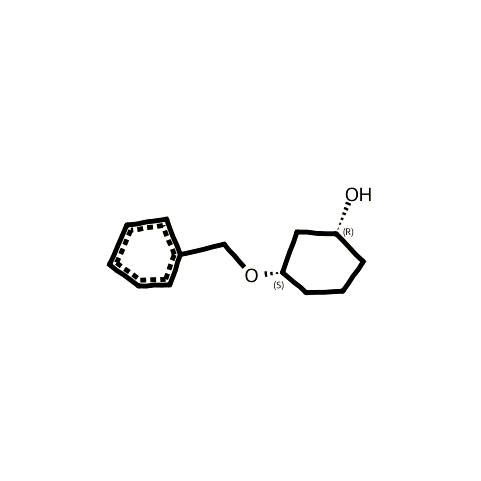 O[C@@H]1CCC[C@H](OCc2ccccc2)C1